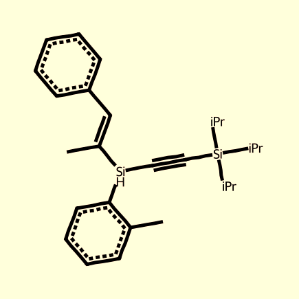 CC(=Cc1ccccc1)[SiH](C#C[Si](C(C)C)(C(C)C)C(C)C)c1ccccc1C